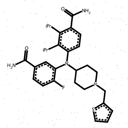 CC(C)c1c(C(N)=O)ccc(N(c2cc(C(N)=O)ccc2F)C2CCN(Cc3cccs3)CC2)c1C(C)C